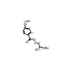 CCCCC([CH]OOC(=O)c1ccc(OCCC)cc1)CC